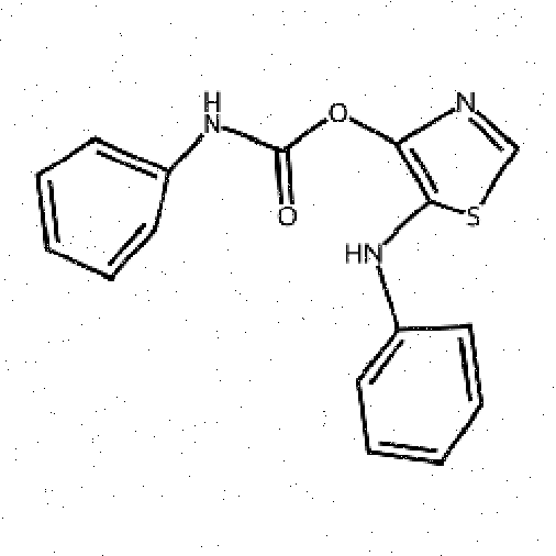 O=C(Nc1ccccc1)Oc1ncsc1Nc1ccccc1